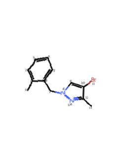 Cc1ccccc1Cn1cc(Br)c(C)n1